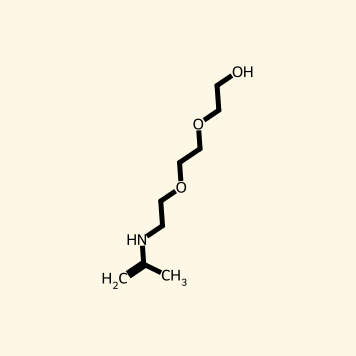 C=C(C)NCCOCCOCCO